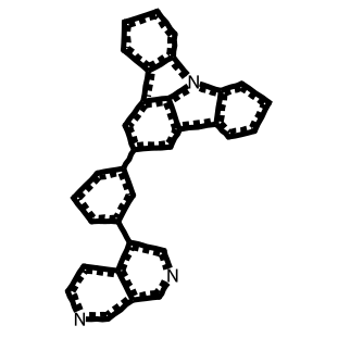 c1cc(-c2cc3c4ccccc4n4c5ccccc5c(c2)c34)cc(-c2cncc3cnccc23)c1